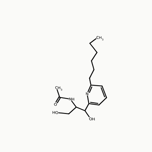 CCCCCCc1cccc(C(O)C(CO)NC(C)=O)n1